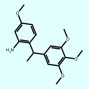 COc1ccc(C(C)c2cc(OC)c(OC)c(OC)c2)c(N)c1